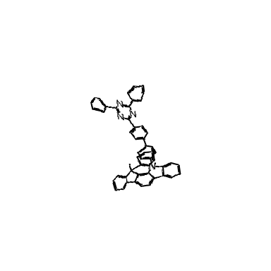 CC1(c2ccccc2)c2ccccc2-c2ccc3c4ccccc4n(-c4ccc(-c5ccc(-c6nc(-c7ccccc7)nc(-c7ccccc7)n6)cc5)cc4)c3c21